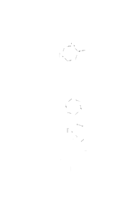 Cc1nc2c(c(=O)[nH]1)CC(COc1ccc(C(=O)N[C@@H](CCC(O)O)C(=O)O)cc1)C2